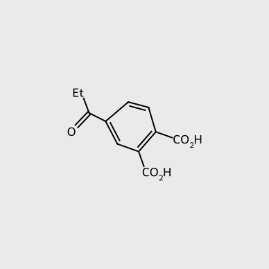 CCC(=O)c1ccc(C(=O)O)c(C(=O)O)c1